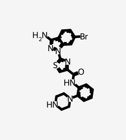 Nc1nn(-c2nc(C(=O)Nc3ccccc3N3CCNCC3)cs2)c2cc(Br)ccc12